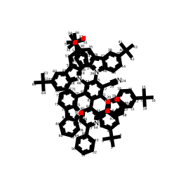 CC(C)(C)c1ccc2c(c1)c1cc(C(C)(C)C)ccc1n2-c1c(C#N)c(-n2c3ccc(C(C)(C)C)cc3c3cc(C(C)(C)C)ccc32)c(-n2c3ccc(C(C)(C)C)cc3c3cc(C(C)(C)C)ccc32)c(-c2cccc3c2sc2ccccc23)c1-c1ccc(-c2ccccc2)nc1-c1ccccc1